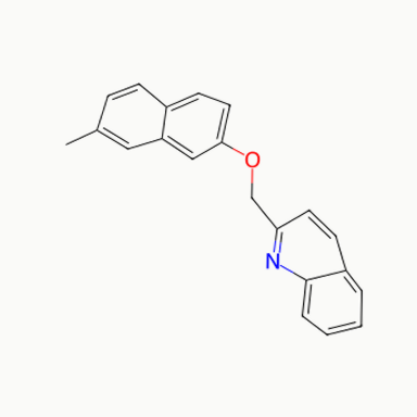 Cc1ccc2ccc(OCc3ccc4ccccc4n3)cc2c1